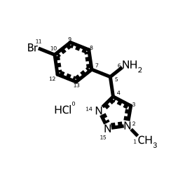 Cl.Cn1cc(C(N)c2ccc(Br)cc2)nn1